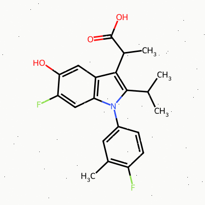 Cc1cc(-n2c(C(C)C)c(C(C)C(=O)O)c3cc(O)c(F)cc32)ccc1F